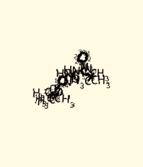 CC(C)(C)c1cc(NC(=O)Nc2ccc(B3OC(C)(C)C(C)(C)O3)cn2)n(-c2ccccc2)n1